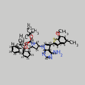 COc1cc(C)cc2cc(-c3cn(C4CC(CO[Si](c5ccccc5)(c5ccccc5)C(C)(C)C)N(C(=O)OC(C)(C)C)C4)c4ncnc(N)c34)sc12